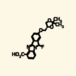 CC1(C)OC[C@H](COc2ccc3c(c2)C(F)n2c-3nc3c(C(=O)O)cccc32)O1